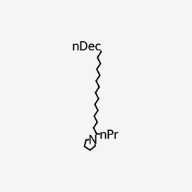 CCCCCCCCCCCCCCCCCCCCCCCCC(CCC)N1CCCC1